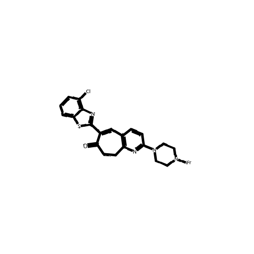 CC(C)N1CCN(c2ccc3c(n2)CCC(=O)C(c2nc4c(Cl)cccc4s2)=C3)CC1